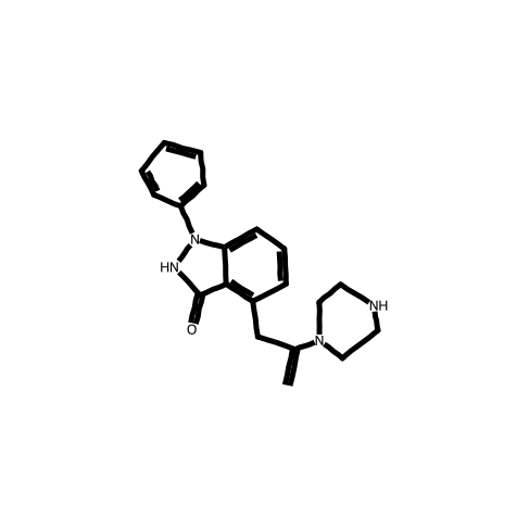 C=C(Cc1cccc2c1c(=O)[nH]n2-c1ccccc1)N1CCNCC1